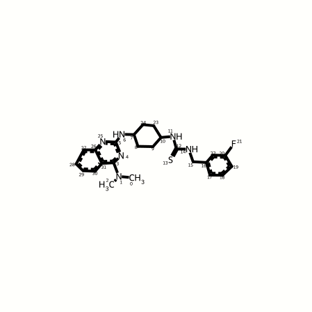 CN(C)c1nc(NC2CCC(NC(=S)NCc3cccc(F)c3)CC2)nc2ccccc12